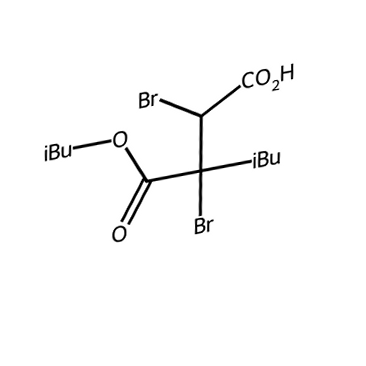 CCC(C)OC(=O)C(Br)(C(C)CC)C(Br)C(=O)O